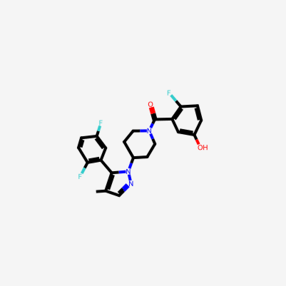 Cc1cnn(C2CCN(C(=O)c3cc(O)ccc3F)CC2)c1-c1cc(F)ccc1F